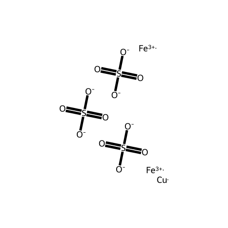 O=S(=O)([O-])[O-].O=S(=O)([O-])[O-].O=S(=O)([O-])[O-].[Cu].[Fe+3].[Fe+3]